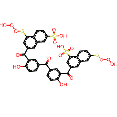 O=C(c1ccc(O)c(C(=O)c2cc(SOOO)c3ccc(S(=O)(=O)O)cc3c2)c1)c1ccc(O)c(C(=O)c2cc(S(=O)(=O)O)c3ccc(SOOO)cc3c2)c1